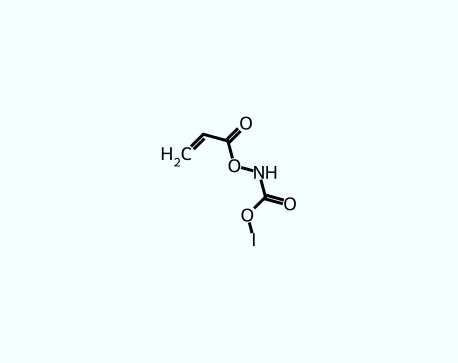 C=CC(=O)ONC(=O)OI